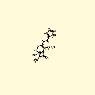 NC1C(=O)N2C(C(=O)O)=C(CSc3nnn[nH]3)CS[C@H]12